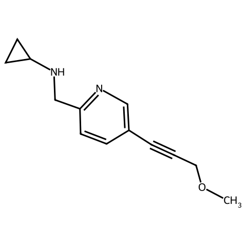 COCC#Cc1ccc(CNC2CC2)nc1